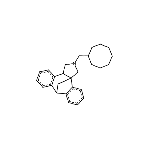 c1ccc2c(c1)C1CC3(CN(CC4CCCCCCC4)CC23)c2ccccc21